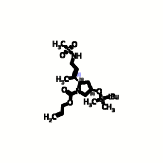 C=CCOC(=O)N1C[C@H](O[Si](C)(C)C(C)(C)C)C[C@H]1/C(C)=C/CNS(C)(=O)=O